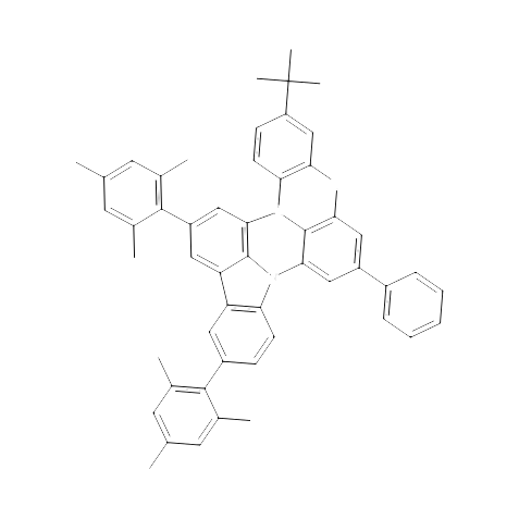 Cc1cc(C)c(-c2ccc3c(c2)c2cc(-c4c(C)cc(C)cc4C)cc4c2n3-c2cc(-c3ccccc3)cc3c2B4c2ccc(C(C)(C)C)cc2O3)c(C)c1